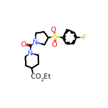 CCOC(=O)C1CCN(C(=O)N2CCC(S(=O)(=O)c3ccc(F)cc3)C2)CC1